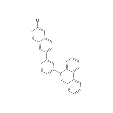 Clc1ccc2cc(-c3cccc(-c4cc5ccccc5c5ccccc45)c3)ccc2c1